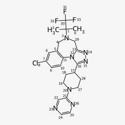 CC(C)(N1Cc2cc(Cl)ccc2-n2c(nnc2C2CCN(c3cnccn3)CC2)C1)C(F)(F)F